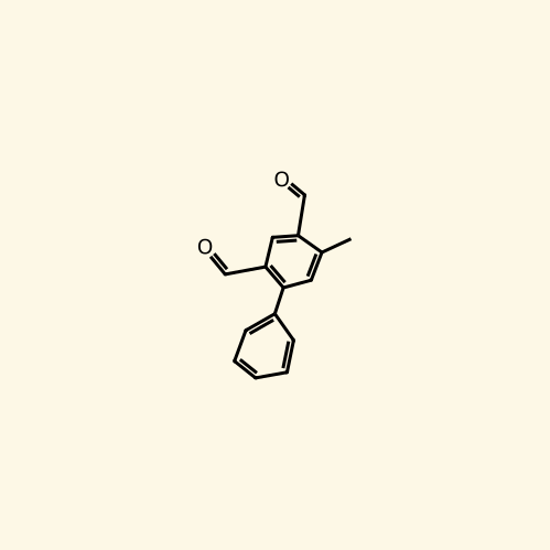 Cc1cc(-c2ccccc2)c(C=O)cc1C=O